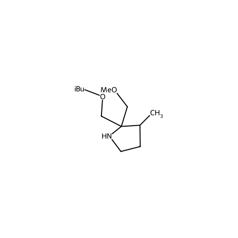 CCC(C)OCC1(COC)NCCC1C